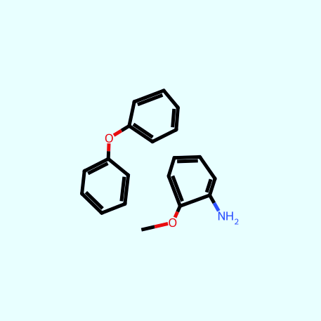 COc1ccccc1N.c1ccc(Oc2ccccc2)cc1